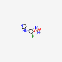 CN(C)S(=O)(=O)N(C)Cc1cc(F)cc(Nc2cccnc2)c1